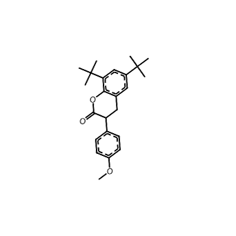 COc1ccc(C2Cc3cc(C(C)(C)C)cc(C(C)(C)C)c3OC2=O)cc1